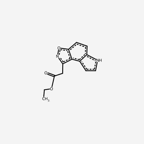 CCOC(=O)Cc1noc2ccc3[nH]ccc3c12